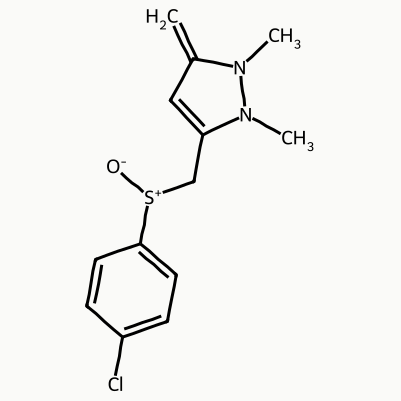 C=C1C=C(C[S+]([O-])c2ccc(Cl)cc2)N(C)N1C